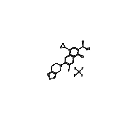 F[B-](F)(F)F.O=C(O)c1cn(C2CC2)c2cc(N3CCc4sccc4C3)c(F)cc2c1=O